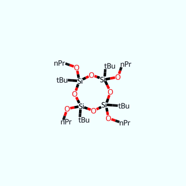 CCCO[Si]1(C(C)(C)C)O[Si](OCCC)(C(C)(C)C)O[Si](OCCC)(C(C)(C)C)O[Si](OCCC)(C(C)(C)C)O1